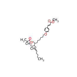 C=C(C)C(=O)OCC(CCCCCCOc1ccc(C=CC(=O)OC)cc1)C(CC)CCCCCCC